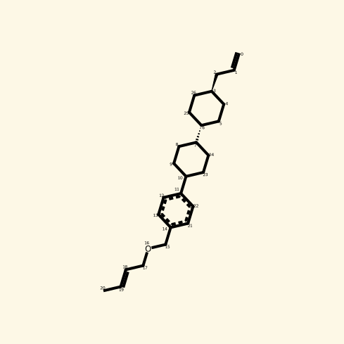 C=CC[C@H]1CC[C@H](C2CCC(c3ccc(COC/C=C/C)cc3)CC2)CC1